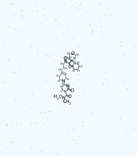 CN(C)C(=O)c1ccc(N2CCC(CCCN(C)C(=O)C3(c4ccccc4)CCOCC3)CC2)nc1Cl